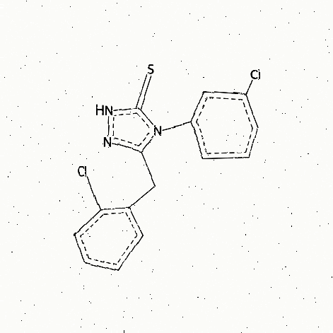 S=c1[nH]nc(Cc2ccccc2Cl)n1-c1cccc(Cl)c1